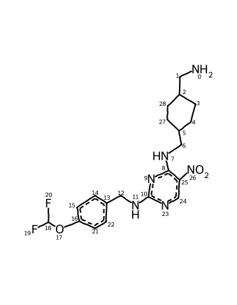 NCC1CCC(CNc2nc(NCc3ccc(OC(F)F)cc3)ncc2[N+](=O)[O-])CC1